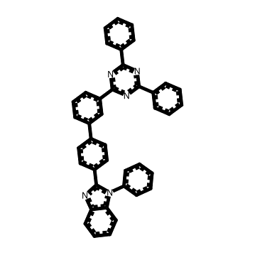 c1ccc(-c2nc(-c3ccccc3)nc(-c3cccc(-c4ccc(-c5nc6ccccc6n5-c5ccccc5)cc4)c3)n2)cc1